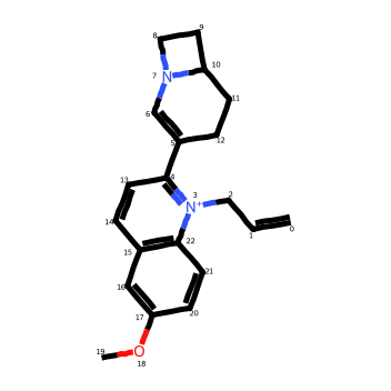 C=CC[n+]1c(C2=CN3CCC3CC2)ccc2cc(OC)ccc21